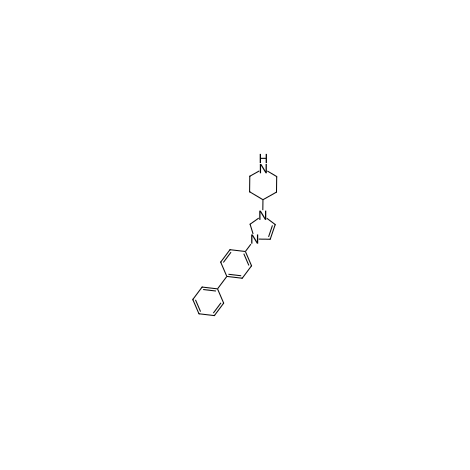 C1=CN(C2CCNCC2)CN1c1ccc(-c2ccccc2)cc1